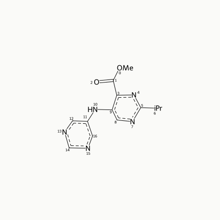 COC(=O)c1nc(C(C)C)ncc1Nc1cncnc1